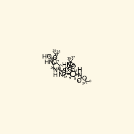 CC(C)OC(=O)Nc1ccc(-c2cnc([C@@H]3CCC(NC(O)OC(C)C)CN3)s2)c(S(=O)(=O)NC(C)(C)C)c1